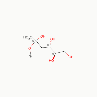 [2H]O[C@@](O)(C[C@H](O)[C@H](O)CO)C(=O)O